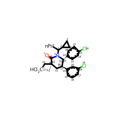 CCCC(C1CC1)N1C(=O)[C@](C)(CC(=O)O)C[C@H](c2cccc(Cl)c2)[C@H]1c1ccc(Cl)cc1